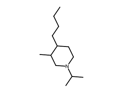 CCCCC1CCN(C(C)C)CC1C